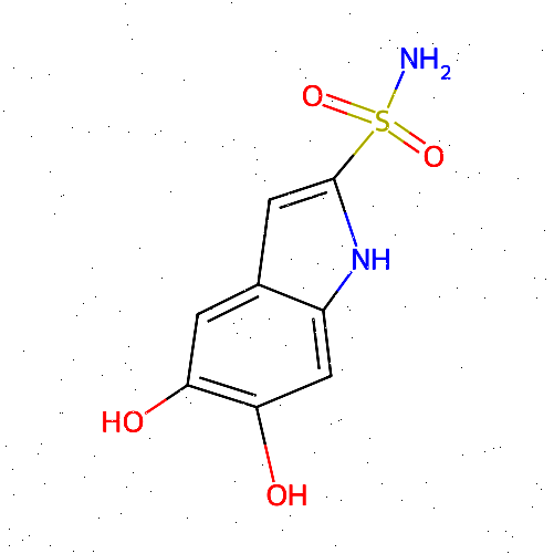 NS(=O)(=O)c1cc2cc(O)c(O)cc2[nH]1